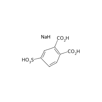 O=C(O)c1ccc(S(=O)(=O)O)cc1C(=O)O.[NaH]